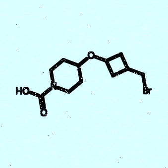 O=C(O)N1CCC(OC2CC(CBr)C2)CC1